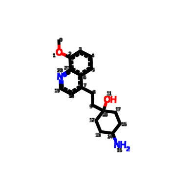 COc1cccc2c(CCC3(O)CCC(N)CC3)ccnc12